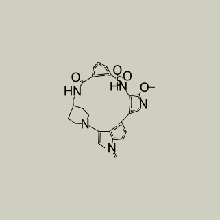 C=Nc1ccc2cc1/C(=C\C)N1CCC(CC1)CNC(=O)c1cccc(c1)S(=O)(=O)Nc1cc-2cnc1OC